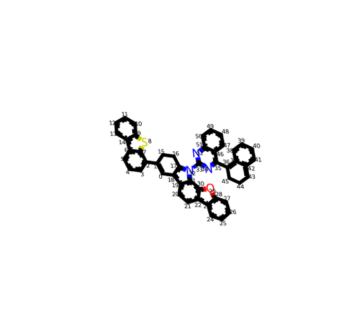 C1=C(c2cccc3c2sc2ccccc23)CCc2c1c1ccc3c4ccccc4oc3c1n2-c1nc(C2=c3ccccc3=CCC2)c2ccccc2n1